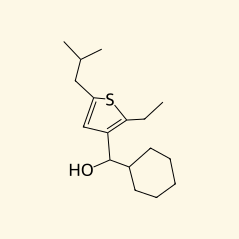 CCc1sc(CC(C)C)cc1C(O)C1CCCCC1